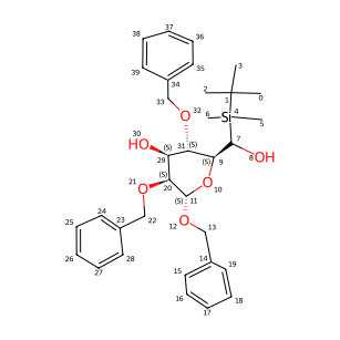 CC(C)(C)[Si](C)(C)C(O)[C@H]1O[C@H](OCc2ccccc2)[C@@H](OCc2ccccc2)[C@@H](O)[C@@H]1OCc1ccccc1